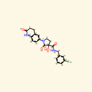 O=C1CCc2cc(N3CCC(O)(C(=O)NCc4cccc(F)c4)C3=O)ccc2N1